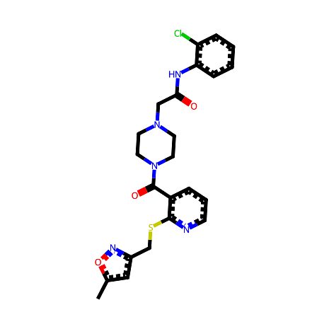 Cc1cc(CSc2ncccc2C(=O)N2CCN(CC(=O)Nc3ccccc3Cl)CC2)no1